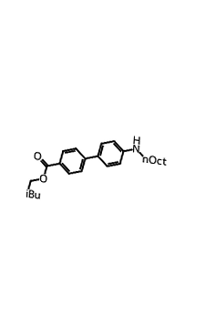 CCCCCCCCNc1ccc(-c2ccc(C(=O)OCC(C)CC)cc2)cc1